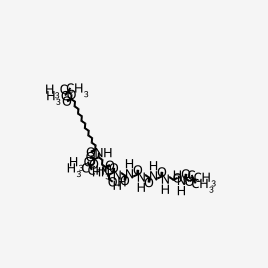 CC(C)(C)OC(=O)CCCCCCCCCCCCCC(=O)NC(CCC(=O)NC(CO)C(=O)NCC(=O)NCC(=O)NCC(=O)NCC(=O)NCCONC(=O)OC(C)(C)C)C(=O)OC(C)(C)C